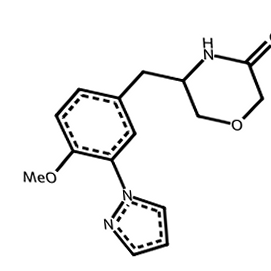 COc1ccc(CC2COCC(=O)N2)cc1-n1cccn1